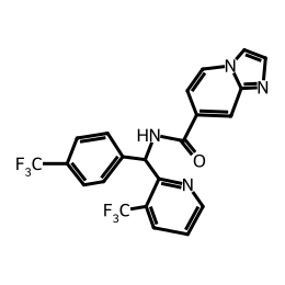 O=C(NC(c1ccc(C(F)(F)F)cc1)c1ncccc1C(F)(F)F)c1ccn2ccnc2c1